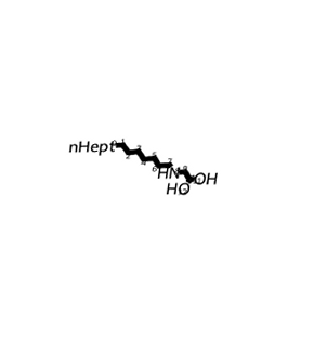 CCCCCCCCCCCCCCNCC(O)O